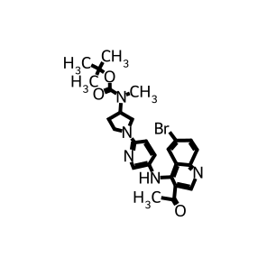 CC(=O)c1cnc2ccc(Br)cc2c1Nc1ccc(N2CCC(N(C)C(=O)OC(C)(C)C)C2)nc1